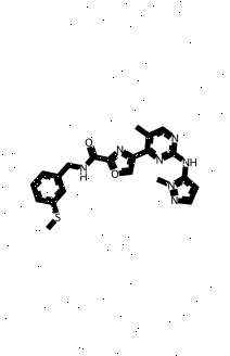 CSc1cccc(CNC(=O)c2nc(-c3nc(Nc4ccnn4C)ncc3C)co2)c1